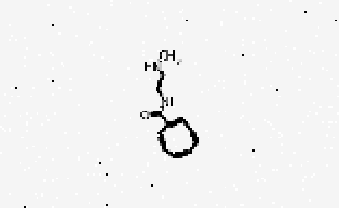 CNCCNC(=O)C1=C/C=C\C=C/C=C\1